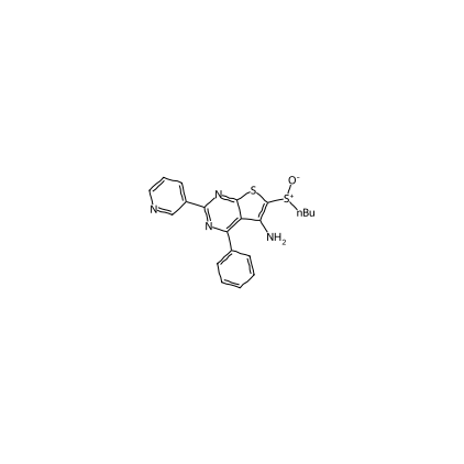 CCCC[S+]([O-])c1sc2nc(-c3cccnc3)nc(-c3ccccc3)c2c1N